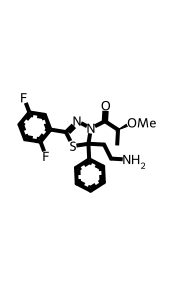 CO[C@@H](C)C(=O)N1N=C(c2cc(F)ccc2F)SC1(CCN)c1ccccc1